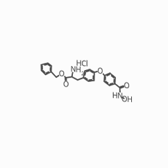 Cl.NC(Cc1ccc(Oc2ccc(C(=O)NO)cc2)cc1)C(=O)OCc1ccccc1